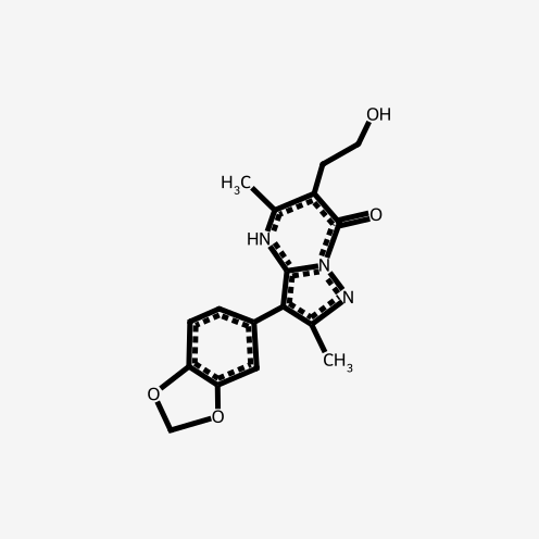 Cc1nn2c(=O)c(CCO)c(C)[nH]c2c1-c1ccc2c(c1)OCO2